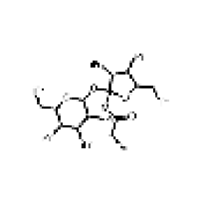 CC(=O)CC(=O)OC1(OC2OC(CC(C)C)C(C(C)C)C(C(C)C)C2C(C)C)OC(CC(C)C)C(C(C)C)C1C(C)C